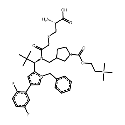 CC(C)(C)[C@H](c1cc(-c2cc(F)ccc2F)cn1Cc1ccccc1)N(CC1CCN(C(=O)OCC[Si](C)(C)C)C1)C(=O)CSC[C@H](N)C(=O)O